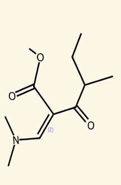 CCC(C)C(=O)/C(=C/N(C)C)C(=O)OC